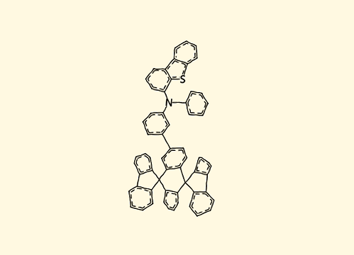 c1ccc(N(c2cccc(-c3ccc4c(c3)C3(c5ccccc5-c5ccccc53)c3ccccc3C43c4ccccc4-c4ccccc43)c2)c2cccc3c2sc2ccccc23)cc1